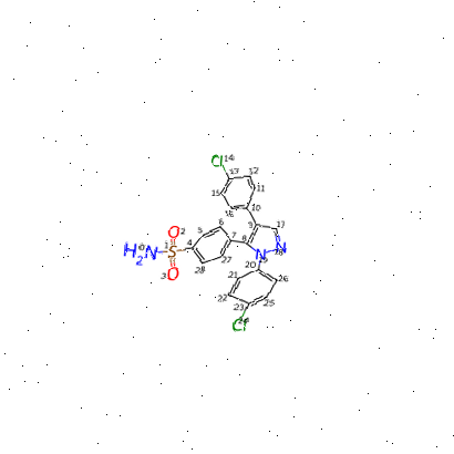 NS(=O)(=O)c1ccc(-c2c(-c3ccc(Cl)cc3)cnn2-c2ccc(Cl)cc2)cc1